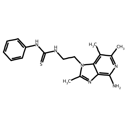 Cc1nc(N)c2nc(C)n(CCNC(=S)Nc3ccccc3)c2c1C